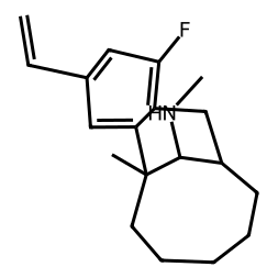 C=Cc1cc(F)c2c(c1)C1(C)CCCCCC(C2)C1NC